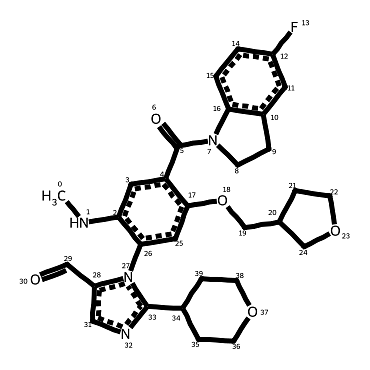 CNc1cc(C(=O)N2CCc3cc(F)ccc32)c(OCC2CCOC2)cc1-n1c(C=O)cnc1C1CCOCC1